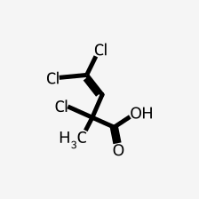 CC(Cl)(C=C(Cl)Cl)C(=O)O